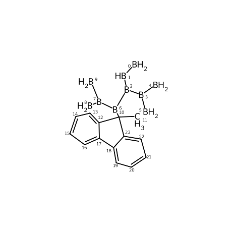 BBB(B(B)B)B(B(B)B)C1(C)c2ccccc2-c2ccccc21